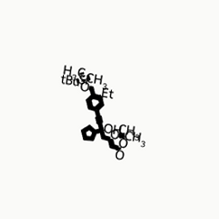 CCc1cc(C#CC(O)(CC2=CC(=O)OC(C)(C)O2)C2CCCC2)ccc1CO[Si](C)(C)C(C)(C)C